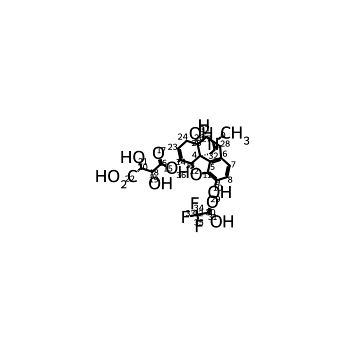 CN1CC[C@]23c4c5ccc(O)c4O[C@H]2C(OC(=O)[C@H](O)[C@@H](O)C(=O)O)=CC[C@@]3(O)[C@H]1C5.O=C(O)C(F)(F)F